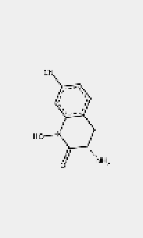 [C-]#[N+]c1ccc2c(c1)N(O)C(=O)[C@@H](N)C2